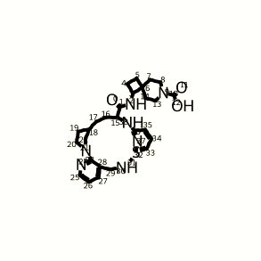 O=C(NC1CCC12CCN(C(=O)O)CC2)C1CCC2CCN(C2)c2ncccc2CNCS2=CC=CC(=N2)N1